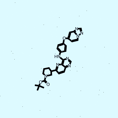 CC(C)(C)OC(=O)N1CCCC(c2ccc3ncnc(Nc4ccc(Oc5ccn6ncnc6c5)cc4)c3n2)C1